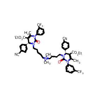 CCOC(=O)C1=C(C)N(c2cccc(C(F)(F)F)c2)C(=O)N(CCCCC[N+](C)(C)CCCCN2C(=O)N(c3cccc(C(F)(F)F)c3)C(C)=C(C(=O)OCC)[C@H]2c2ccc(C#N)cc2)[C@@H]1c1ccc(C#N)cc1